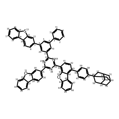 c1ccc(-c2cc(-c3ccc4c(c3)sc3ccccc34)cc(-c3nc(-c4ccc5c(c4)oc4ccccc45)nc(-c4ccc(-c5ccc(C67CC8CC(CC(C8)C6)C7)cc5)c5c4oc4ccccc45)n3)c2)cc1